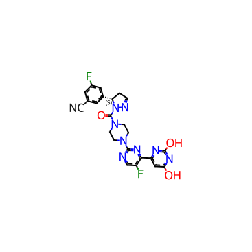 N#Cc1cc(F)cc([C@@H]2CC=NN2C(=O)N2CCN(c3ncc(F)c(-c4cc(O)nc(O)n4)n3)CC2)c1